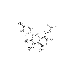 CC(C)=CCc1c(O)cc(O)c2c1OC(c1ccc(Cl)cc1)=C(O)C2C=O